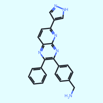 NCc1ccc(-c2nc3nc(-c4cn[nH]c4)ccc3nc2-c2ccccc2)cc1